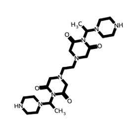 CC(N1CCNCC1)N1C(=O)CN(CCN2CC(=O)N(C(C)N3CCNCC3)C(=O)C2)CC1=O